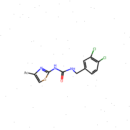 CC(=O)c1csc(NC(=O)NCc2ccc(Cl)c(Cl)c2)n1